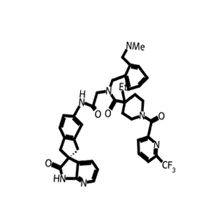 CCC1(C(=O)N(CC(=O)Nc2ccc3c(c2)C[C@@]2(C3)C(=O)Nc3ncccc32)Cc2ccccc2CNC)CCN(C(=O)c2cccc(C(F)(F)F)n2)CC1